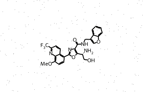 COc1ccc(-c2nc(C(=O)NCc3coc4ccccc34)c([C@H](N)CO)o2)c2ccc(C(F)(F)F)nc12